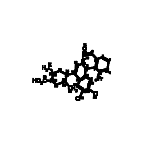 CSc1ccnc(C(C)C)c1N1C(=C=O)N=C(N2C[C@@H](C)N(C(=O)O)C[C@@H]2C)c2cc(Cl)c(Cl)nc21